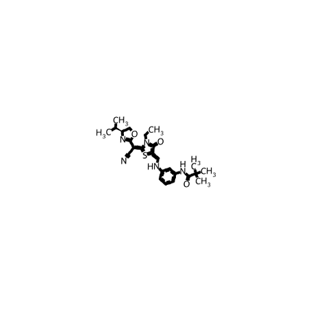 CCn1c(=C(C#N)C2=N[C@@H](C(C)C)CO2)sc(=CNc2cccc(NC(=O)C(C)(C)C)c2)c1=O